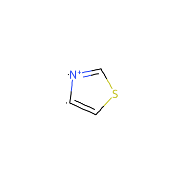 [C]1=CSC=[N+]1